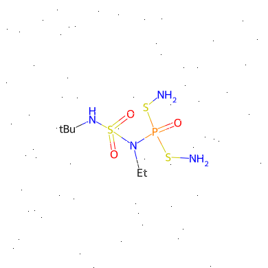 CCN(P(=O)(SN)SN)S(=O)(=O)NC(C)(C)C